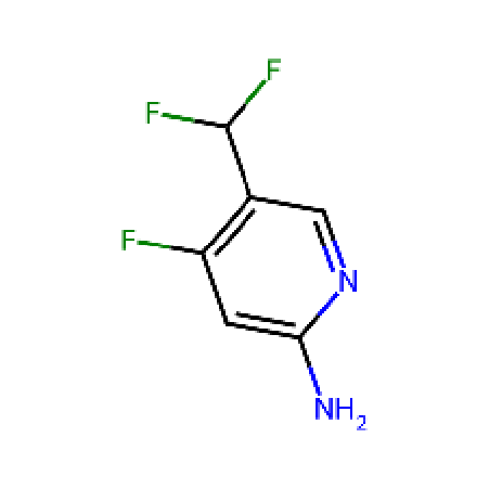 Nc1cc(F)c(C(F)F)cn1